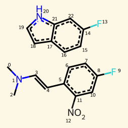 CN(C)C=Cc1ccc(F)cc1[N+](=O)[O-].Fc1ccc2cc[nH]c2c1